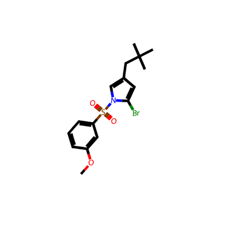 COc1cccc(S(=O)(=O)n2cc(CC(C)(C)C)cc2Br)c1